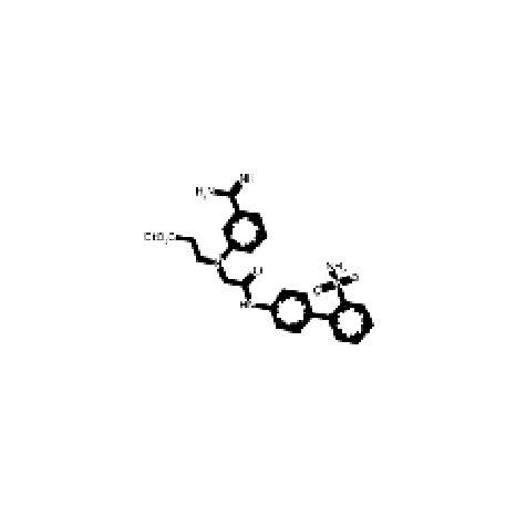 CCOC(=O)CCN(CC(=O)Nc1ccc(-c2ccccc2S(N)(=O)=O)cc1)c1cccc(C(=N)N)c1